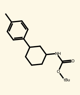 Cc1ccc(C2CCCC(NC(=O)OC(C)(C)C)C2)cc1